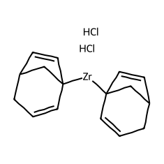 C1=C[C]2([Zr][C]34C=CCC(C=C3)C4)C=CC(C1)C2.Cl.Cl